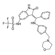 O=C1Nc2ccc(NS(=O)(=O)C(F)(F)F)cc2C1=C(Nc1ccc(CN2CCOCC2)cc1)c1ccccc1